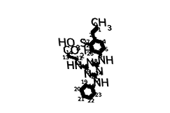 C/C=C/c1ccc(Nc2nc(NCCC(=O)O)nc(Nc3ccccc3)n2)cc1S(=O)(=O)O